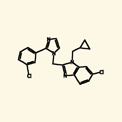 Clc1cccc(-c2nccn2Cc2nc3ccc(Cl)cc3n2CC2CC2)c1